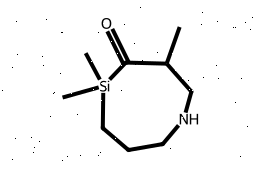 CC1CNCCC[Si](C)(C)C1=O